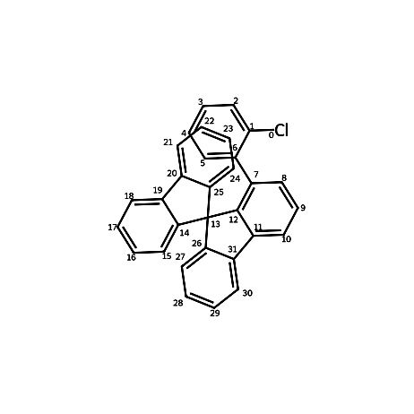 Clc1ccccc1-c1cccc2c1C1(c3ccccc3-c3ccccc31)c1ccccc1-2